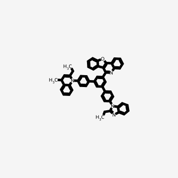 CCC1=CC(C)c2ccccc2N1c1ccc(-c2cc(-c3ccc(-n4c(CC)nc5ccccc54)cc3)cc(-c3nc4ccccc4c4oc5ccccc5c34)c2)cc1